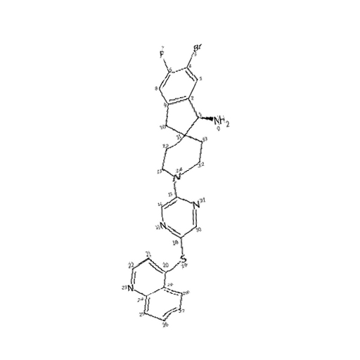 N[C@@H]1c2cc(Br)c(F)cc2CC12CCN(c1cnc(Sc3ccnc4ccccc34)cn1)CC2